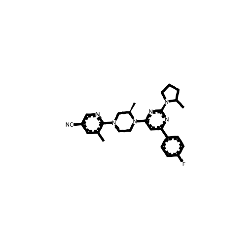 Cc1cc(C#N)cnc1N1CCN(c2cc(-c3ccc(F)cc3)nc(N3CCCC3C)n2)[C@H](C)C1